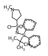 CN1CCC(S(=O)(Cl)=N[Si](c2ccccc2)(c2ccccc2)C(C)(C)C)C1